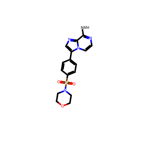 CNc1nccn2c(-c3ccc(S(=O)(=O)N4CCOCC4)cc3)cnc12